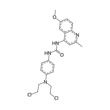 COc1ccc2nc(C)cc(NC(=O)Nc3ccc(N(CCCl)CCCl)cc3)c2c1